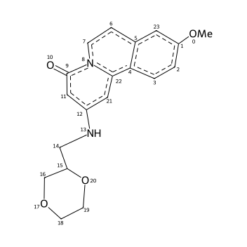 COc1ccc2c(ccn3c(=O)cc(NCC4COCCO4)cc23)c1